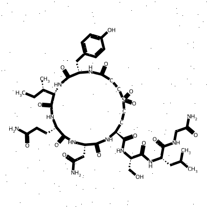 CC[C@H](C)[C@@H]1NC(=O)[C@H](Cc2ccc(O)cc2)NC(=O)CCS(=O)(=O)CC[C@@H](C(=O)N[C@@H](CO)C(=O)N[C@@H](CC(C)C)C(=O)NCC(N)=O)NC(=O)[C@H](CC(N)=O)NC(=O)[C@H](CCC(N)=O)NC1=O